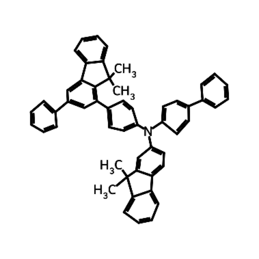 CC1(C)c2ccccc2-c2ccc(N(c3ccc(-c4ccccc4)cc3)c3ccc(-c4cc(-c5ccccc5)cc5c4C(C)(C)c4ccccc4-5)cc3)cc21